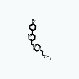 CCCN1CCN(Cc2ccc(-c3ccc(Br)cc3)nn2)CC1